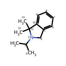 CC(C)N1Cc2ccccc2C1(C)C